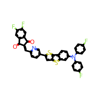 O=C1C(=Cc2ccc(-c3cc4sc5cc(N(c6ccc(F)cc6)c6ccc(F)cc6)ccc5c4s3)cn2)C(=O)c2cc(F)c(F)cc21